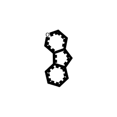 c1ccc2c3coccc-3cc2c1